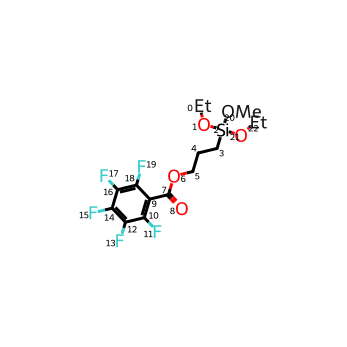 CCO[Si](CCCOC(=O)c1c(F)c(F)c(F)c(F)c1F)(OC)OCC